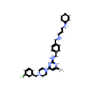 Cc1cc(N2CCN(Cc3cccc(Cl)c3)CC2)nc(NCc2ccc(CNCCCNC3CCCCC3)cc2)n1